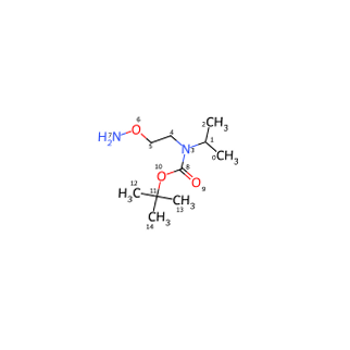 CC(C)N(CCON)C(=O)OC(C)(C)C